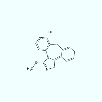 CSC1=NCC2=C3C=CCC=C3Cc3ccccc3N12.I